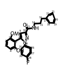 COc1cccc(O)c1-c1cc(C(=O)NCCCc2ccccc2)nn1C1=C=C=C(F)C=C1